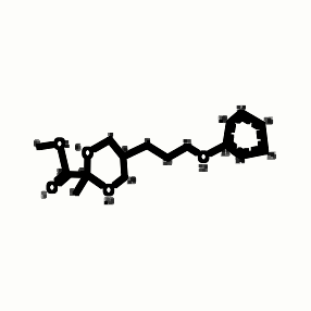 COC(=O)C1(C)OCC(CCCOc2ccccc2)CO1